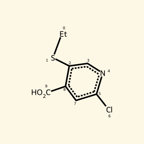 CCSc1cnc(Cl)cc1C(=O)O